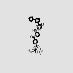 CC(C)(C)OC(=O)N1CCC(C(=O)N2CCC[C@H](Nc3ncc(Cl)c(-c4cccc(-c5ccccc5)c4)n3)C2)CC1